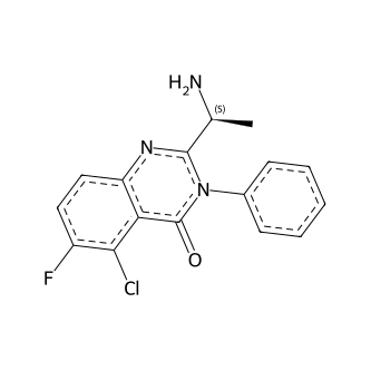 C[C@H](N)c1nc2ccc(F)c(Cl)c2c(=O)n1-c1ccccc1